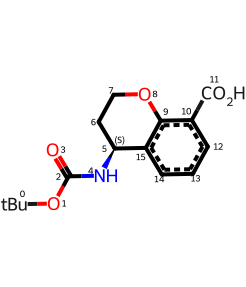 CC(C)(C)OC(=O)N[C@H]1CCOc2c(C(=O)O)cccc21